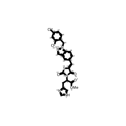 COC(=O)C(Cc1c[nH]cn1)N1C(=O)SC(=Cc2ccc3c(cnn3Cc3ccc(Cl)cc3C(F)(F)F)c2)C1=O